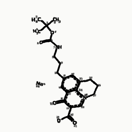 CC(C)(C)OC(=O)NCCCc1cc2c3c(c1)c(=O)c(C(=O)[O-])cn3CCC2.[Na+]